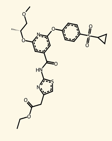 CCOC(=O)Cc1csc(NC(=O)c2cc(Oc3ccc(S(=O)(=O)C4CC4)cc3)nc(O[C@H](C)COC)c2)n1